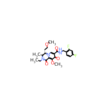 CCN1C(=O)c2c(OC)c(=O)c(C(=O)NCc3ccc(F)cc3F)cn2[C@@H](CCOC)[C@H]1C